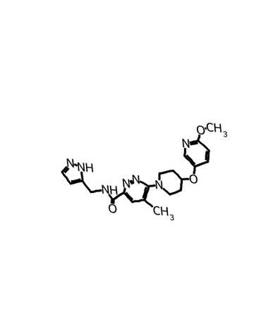 COc1ccc(OC2CCN(c3nnc(C(=O)NCc4ccn[nH]4)cc3C)CC2)cn1